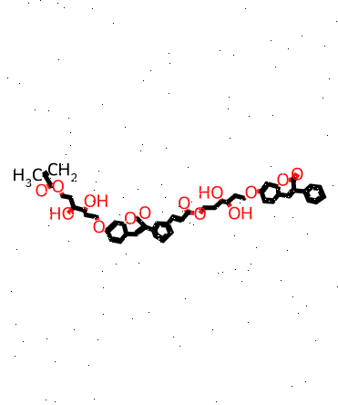 C=C(C)C(=O)OCCC(O)C(O)CCOC1=CC2OC(=O)C(c3cccc(/C=C/C(=O)OCCC(O)C(O)CCOC4=CC5OC(=O)C(c6ccccc6)=CC5C=C4)c3)=CC2C=C1